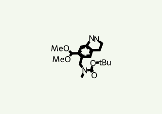 COC(OC)c1cc2c(cc1CN(C)C(=O)OC(C)(C)C)CCN=N2